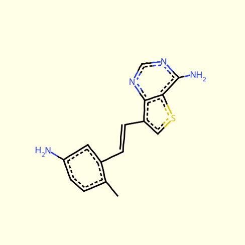 Cc1ccc(N)cc1/C=C/c1csc2c(N)ncnc12